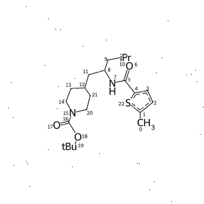 Cc1ccc(C(=O)NC(CC(C)C)CC2CCN(C(=O)OC(C)(C)C)CC2)s1